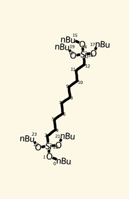 CCCCO[Si](CCCCCCCCCC[Si](OCCCC)(OCCCC)OCCCC)(OCCCC)OCCCC